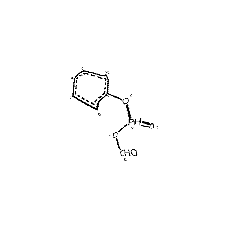 O=CO[PH](=O)Oc1ccccc1